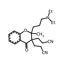 CCN(CC)CCCC1(C)Oc2ccccc2C(=O)C1(CCC#N)CCC#N